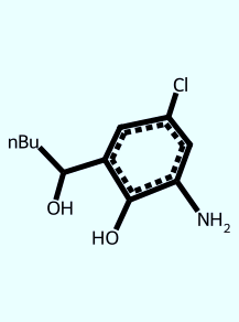 CCCCC(O)c1cc(Cl)cc(N)c1O